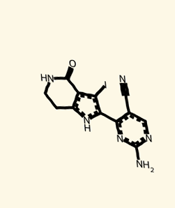 N#Cc1cnc(N)nc1-c1[nH]c2c(c1I)C(=O)NCC2